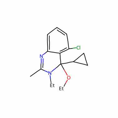 CCOC1(C2CC2)c2c(Cl)cccc2N=C(C)N1CC